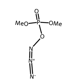 COP(=O)(OC)ON=[N+]=[N-]